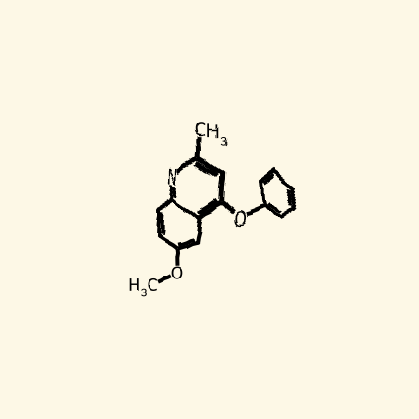 COc1ccc2nc(C)cc(Oc3ccccc3)c2c1